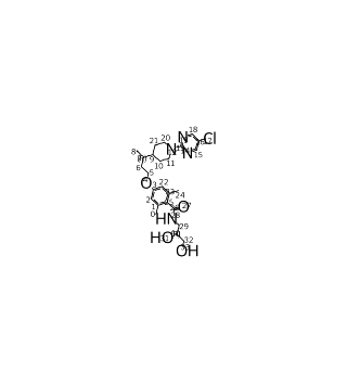 Cc1cc(OCC[C@@H](C)C2CCN(c3ncc(Cl)cn3)CC2)cc(C)c1C(=O)NC[C@@H](O)CO